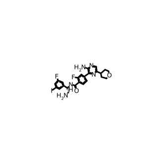 NC[C@@H](NC(=O)c1ccc(-c2nc(C3CCOCC3)cnc2N)cc1F)c1cc(F)cc(I)c1